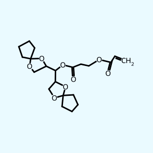 C=CC(=O)OCCC(=O)OC(C1COC2(CCCC2)O1)C1COC2(CCCC2)O1